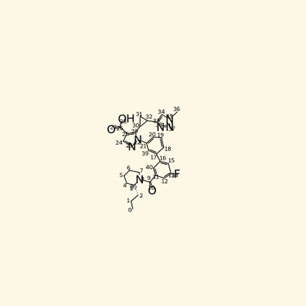 CCC[C@@H]1CCCCN1C(=O)c1cc(F)cc(-c2cccc(-n3ncc(C(=O)O)c3C3CC3c3cn(C)nn3)c2)c1